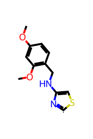 COc1ccc(CNc2cs[c]n2)c(OC)c1